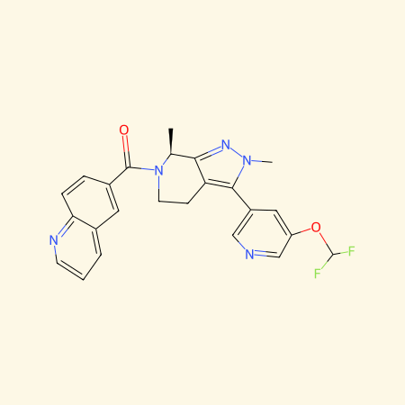 C[C@H]1c2nn(C)c(-c3cncc(OC(F)F)c3)c2CCN1C(=O)c1ccc2ncccc2c1